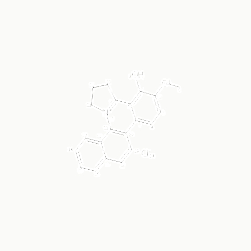 COc1ccc2c(c1O)c1[n+](c3c4ccccc4ccc23)CCC1.[Cl-]